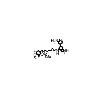 CC(C)(C)OC(=O)N(CCCCOCCNc1cc(-c2ccnc(N)c2)cc2[nH]ncc12)Cc1cc(F)c(OC(F)(F)F)c(F)c1